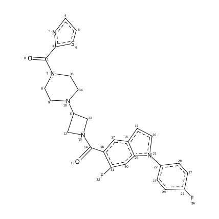 O=C(c1nccs1)N1CCN(C2CN(C(=O)c3cc4ccn(-c5ccc(F)cc5)c4cc3F)C2)CC1